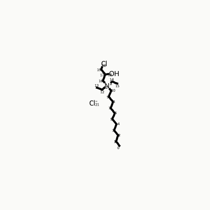 CCCCCCCCCCC[N+](CC)(CC)CC(O)CCl.[Cl-]